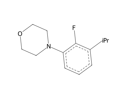 CC(C)c1cccc(N2CCOCC2)c1F